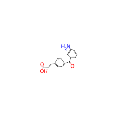 Nc1cccc(C(=O)c2ccc(/C=C/C(=O)O)cc2)c1